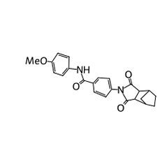 COc1ccc(NC(=O)c2ccc(N3C(=O)C4C5CCC(C5)C4C3=O)cc2)cc1